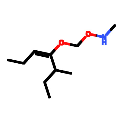 CC/C=C(/OCONC)C(C)CC